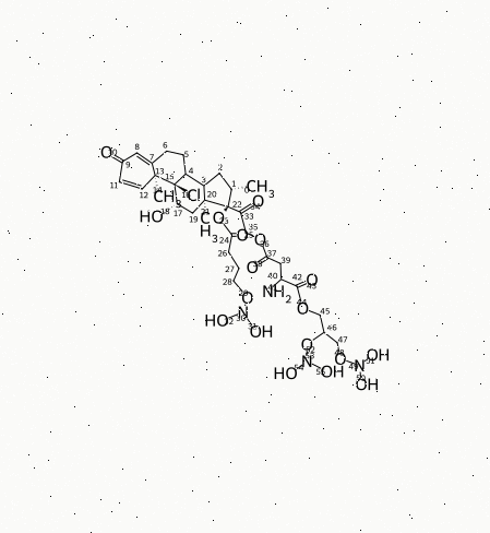 C[C@H]1CC2C3CCC4=CC(=O)C=C[C@]4(C)[C@@]3(Cl)[C@@H](O)C[C@]2(C)[C@@]1(OC(=O)CCCON(O)O)C(=O)COC(=O)CC(N)C(=O)OCC(CON(O)O)ON(O)O